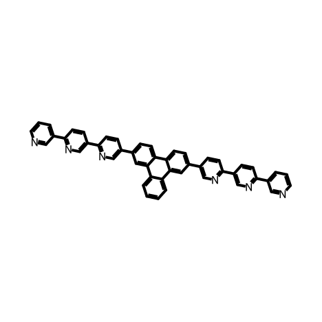 c1cncc(-c2ccc(-c3ccc(-c4ccc5c6ccc(-c7ccc(-c8ccc(-c9cccnc9)nc8)nc7)cc6c6ccccc6c5c4)cn3)cn2)c1